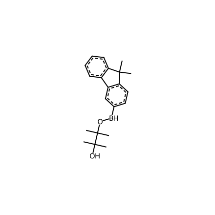 CC1(C)c2ccccc2-c2cc(BOC(C)(C)C(C)(C)O)ccc21